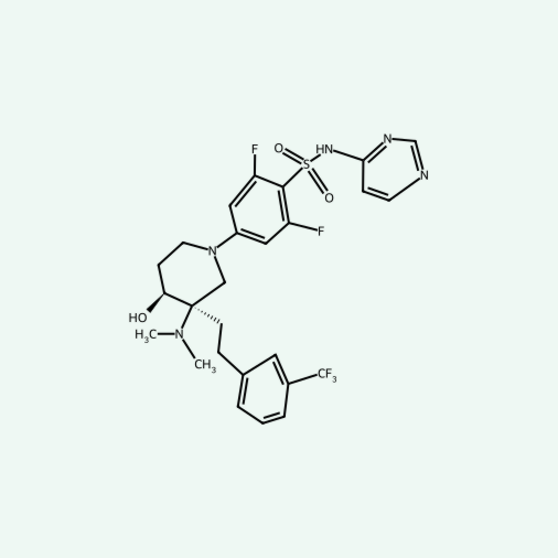 CN(C)[C@]1(CCc2cccc(C(F)(F)F)c2)CN(c2cc(F)c(S(=O)(=O)Nc3ccncn3)c(F)c2)CC[C@@H]1O